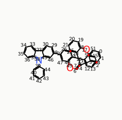 c1ccc(-c2cccc3c2C2(c4ccccc4Oc4ccccc42)c2ccc(-c4ccc5c6ccccc6n(-c6ccccc6)c5c4)cc2O3)cc1